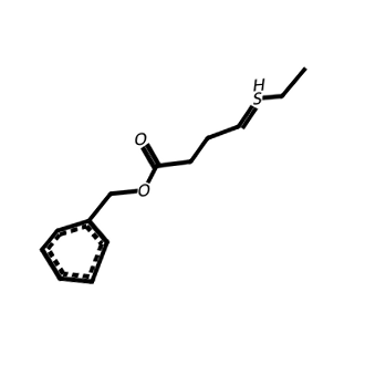 CC[SH]=CCCC(=O)OCc1ccccc1